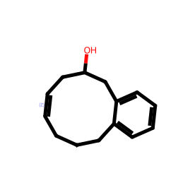 OC1C/C=C\C[CH]Cc2ccccc2C1